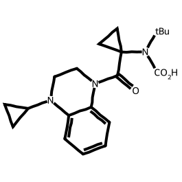 CC(C)(C)N(C(=O)O)C1(C(=O)N2CCN(C3CC3)c3ccccc32)CC1